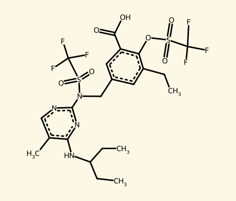 CCc1cc(CN(c2ncc(C)c(NC(CC)CC)n2)S(=O)(=O)C(F)(F)F)cc(C(=O)O)c1OS(=O)(=O)C(F)(F)F